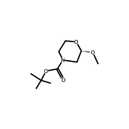 CO[C@@H]1CN(C(=O)OC(C)(C)C)CCO1